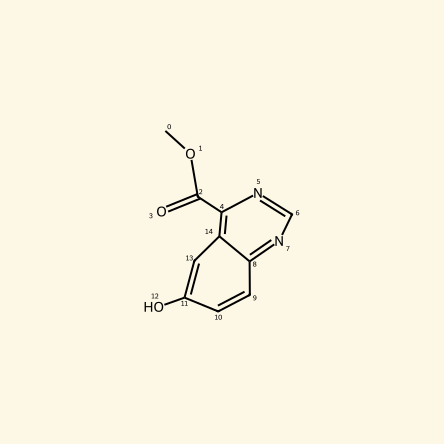 COC(=O)c1ncnc2ccc(O)cc12